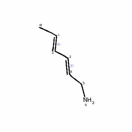 C/C=C/C=C/CN